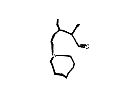 CC(C=O)C(C)CN1CCCCC1